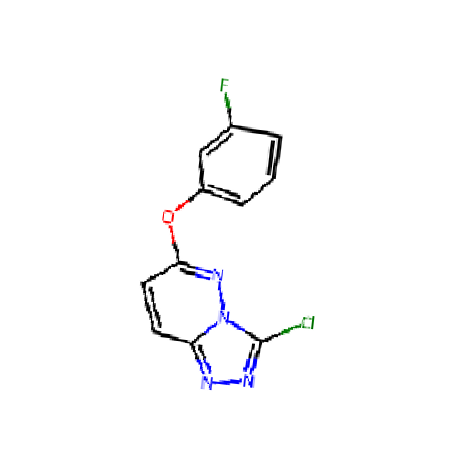 Fc1cccc(Oc2ccc3nnc(Cl)n3n2)c1